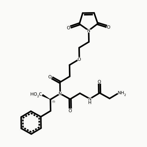 NCC(=O)NCC(=O)N(C(=O)CCOCCN1C(=O)C=CC1=O)[C@@H](Cc1ccccc1)C(=O)O